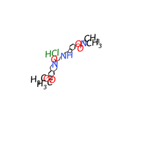 CCN(CC)C(=O)Oc1ccc2c(c1)CC2CNCCC(=O)N1CCc2cc(OC)c(OC)cc2CC1.Cl